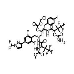 COC(=O)N[C@H](C(=O)NN(Cc1c(F)cc(-c2ccn(C(F)F)n2)cc1F)C[C@H](OC(=O)OCCl)[C@H](Cc1ccc(I)cc1)NC(=O)[C@@H](OC(N)=O)C(C)(C)C(F)(F)F)C(C)(C)C(F)(F)F